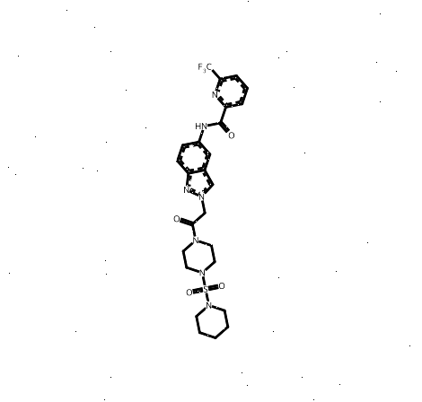 O=C(Nc1ccc2nn(CC(=O)N3CCN(S(=O)(=O)N4CCCCC4)CC3)cc2c1)c1cccc(C(F)(F)F)n1